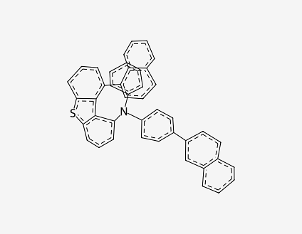 c1ccc(N(c2ccc(-c3ccc4ccccc4c3)cc2)c2cccc3sc4cccc(-c5cccc6ccccc56)c4c23)cc1